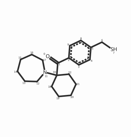 O=C(c1ccc(CS)cc1)C1(N2CCCCCC2)CCCCC1